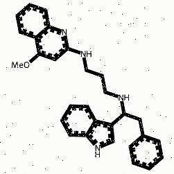 COc1cc(NCCCNC(Cc2ccccc2)c2c[nH]c3ccccc23)nc2ccccc12